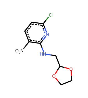 O=[N+]([O-])c1ccc(Cl)nc1NCC1OCCO1